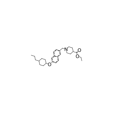 CCCC1CCC(Oc2ccc3cc(CN4CCC(C(=O)OCC)CC4)ccc3c2)CC1